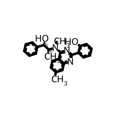 Cc1ccc2c(N(C)[C@@H](C)[C@H](O)c3ccccc3)nc(-c3ccccc3O)nc2c1